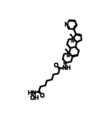 C[C@]12CC[C@@H](NC(=O)CCCCCCC(=O)NO)CC1=CCC1C2CC[C@]2(C)C(c3cccnc3)=CCC12